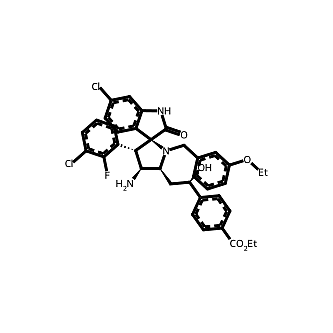 CCOC(=O)c1ccc([C@H](O)C[C@H]2[C@@H](N)[C@H](c3cccc(Cl)c3F)[C@]3(C(=O)Nc4cc(Cl)ccc43)N2Cc2cccc(OCC)c2)cc1